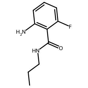 CCCNC(=O)c1c(N)cccc1F